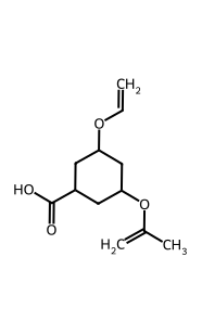 C=COC1CC(OC(=C)C)CC(C(=O)O)C1